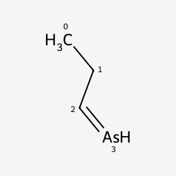 CCC=[AsH]